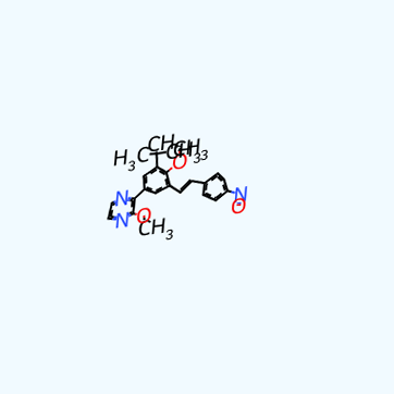 COc1nccnc1-c1cc(/C=C/c2ccc(N=O)cc2)c(OC)c(C(C)(C)C)c1